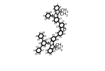 CC1(C)c2ccccc2C2C1c1cc(-c3ccc4oc5ccc(-c6ccc7c(c6)C6C(c8ccccc8C6(C)C)N7c6cc(-c7ccccc7)cc(-c7ccccc7)c6)cc5c4c3)ccc1N2c1ccccc1